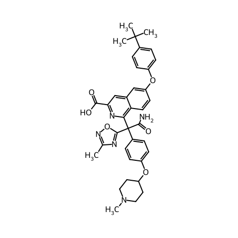 Cc1noc(C(C(N)=O)(c2ccc(OC3CCN(C)CC3)cc2)c2nc(C(=O)O)cc3cc(Oc4ccc(C(C)(C)C)cc4)ccc23)n1